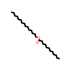 CCCCCCCCCCCCCCCOC(=O)CCCCCCCCCCC